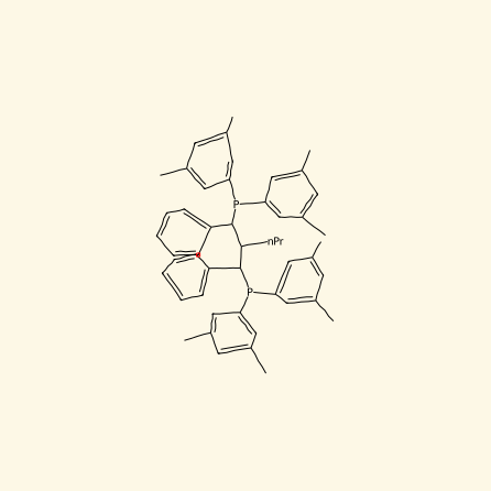 CCCC(C(c1ccccc1)P(c1cc(C)cc(C)c1)c1cc(C)cc(C)c1)C(c1ccccc1)P(c1cc(C)cc(C)c1)c1cc(C)cc(C)c1